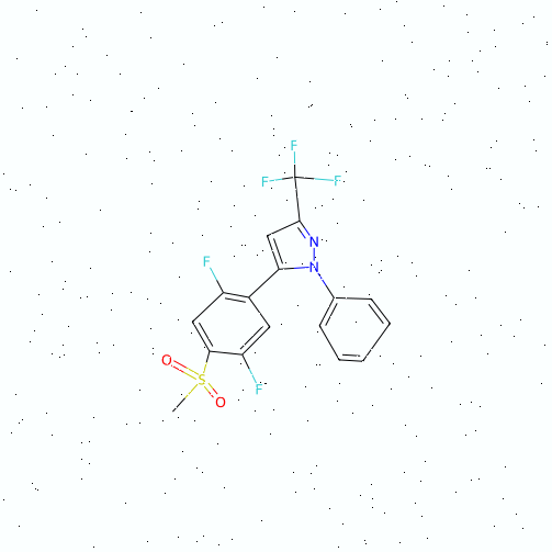 CS(=O)(=O)c1cc(F)c(-c2cc(C(F)(F)F)nn2-c2ccccc2)cc1F